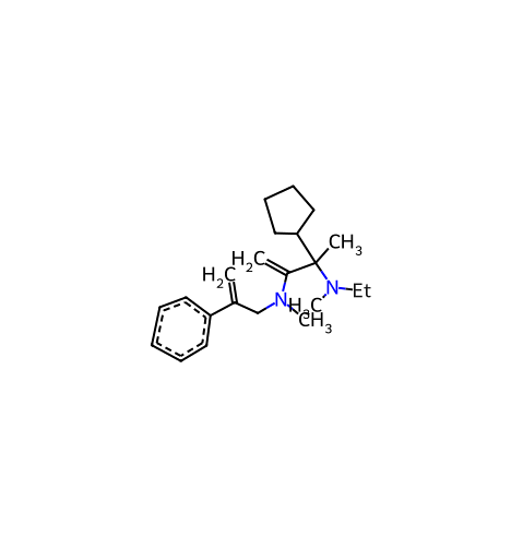 C=C(CN(C)C(=C)C(C)(C1CCCC1)N(C)CC)c1ccccc1